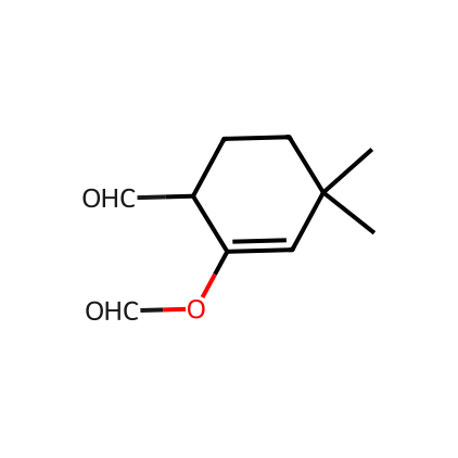 CC1(C)C=C(OC=O)C(C=O)CC1